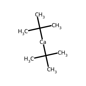 C[C](C)(C)[Ca][C](C)(C)C